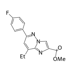 CCc1cc(-c2ccc(F)cc2)nn2cc(C(=O)OC)nc12